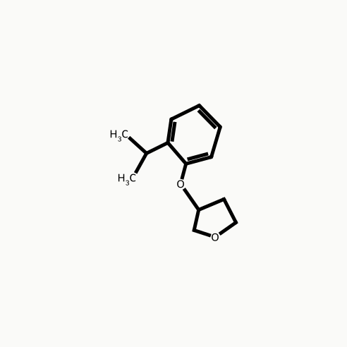 CC(C)c1ccccc1OC1CCOC1